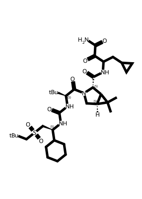 CC(C)(C)CS(=O)(=O)C[C@@H](NC(=O)N[C@H](C(=O)N1C[C@H]2C([C@H]1C(=O)NC(CC1CC1)C(=O)C(N)=O)C2(C)C)C(C)(C)C)C1CCCCC1